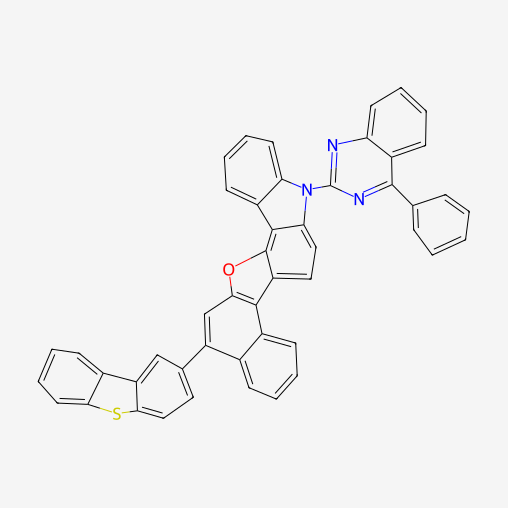 c1ccc(-c2nc(-n3c4ccccc4c4c5oc6cc(-c7ccc8sc9ccccc9c8c7)c7ccccc7c6c5ccc43)nc3ccccc23)cc1